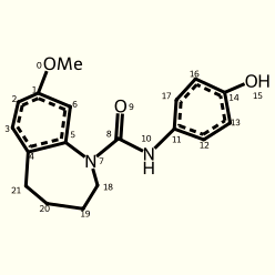 COc1ccc2c(c1)N(C(=O)Nc1ccc(O)cc1)CCCC2